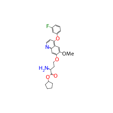 COc1cc2c(Oc3cccc(F)c3)ccnc2cc1OCC[C@H](N)C(=O)OC1CCCC1